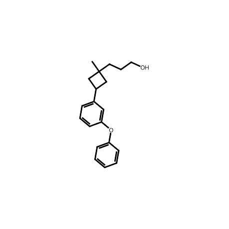 CC1(CCCO)CC(c2cccc(Oc3ccccc3)c2)C1